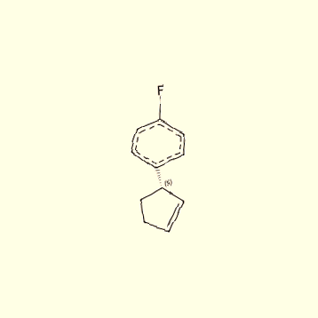 Fc1ccc([C@@H]2C=CCC2)cc1